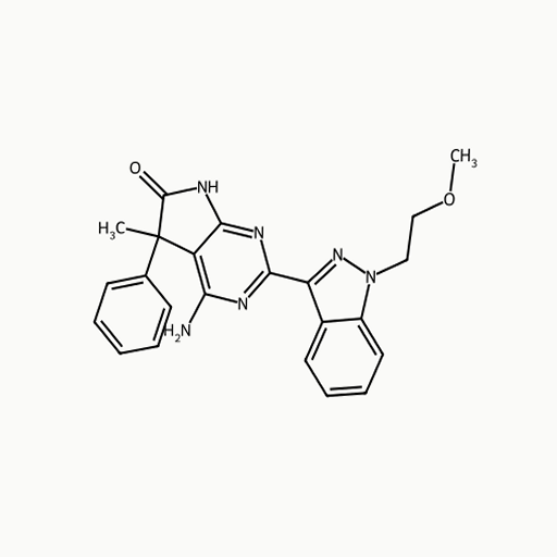 COCCn1nc(-c2nc(N)c3c(n2)NC(=O)C3(C)c2ccccc2)c2ccccc21